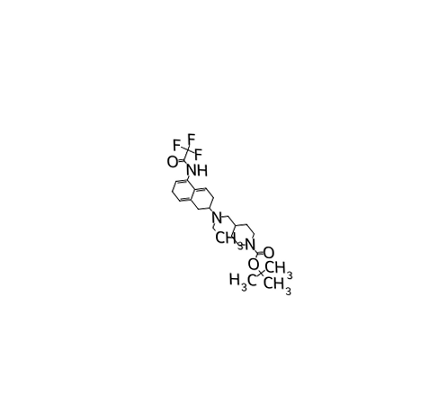 CCN(CC1CCN(C(=O)OC(C)(C)C)CC1)C1CC=C2C(=CCC=C2NC(=O)C(F)(F)F)C1